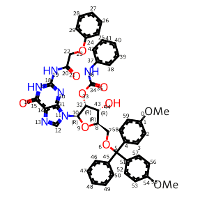 COc1ccc(C(OC[C@H]2O[C@@H](n3cnc4c(=O)[nH]c(NC(=O)COc5ccccc5)nc43)[C@H](OC(=O)Nc3ccccc3)[C@@H]2O)(c2ccccc2)c2ccc(OC)cc2)cc1